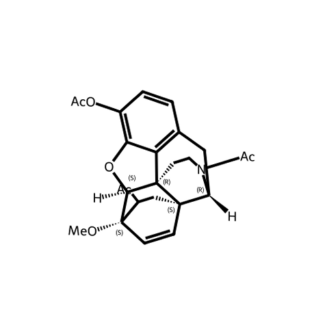 CO[C@@]12C=C[C@]3(CC1C(C)=O)[C@H]1Cc4ccc(OC(C)=O)c5c4[C@]3(CCN1C(C)=O)[C@@H]2O5